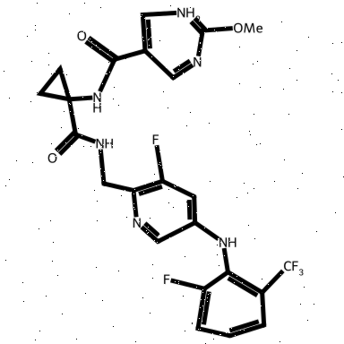 C=C(/N=C\C(=C/N)C(=O)NC1(C(=O)NCc2ncc(Nc3c(F)cccc3C(F)(F)F)cc2F)CC1)OC